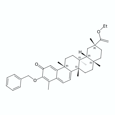 C=C(OCC)[C@]1(C)CC[C@]2(C)CC[C@]3(C)C4=CC=C5C(=CC(=O)C(OCc6ccccc6)=C5C)[C@]4(C)CC[C@@]3(C)[C@@H]2C1